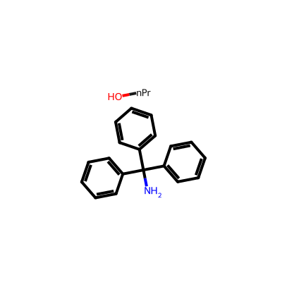 CCCO.NC(c1ccccc1)(c1ccccc1)c1ccccc1